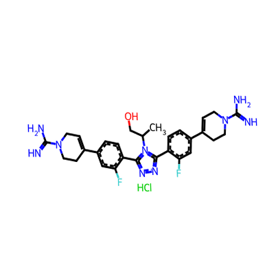 CC(CO)n1c(-c2ccc(C3=CCN(C(=N)N)CC3)cc2F)nnc1-c1ccc(C2=CCN(C(=N)N)CC2)cc1F.Cl